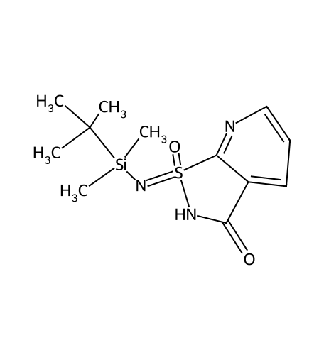 CC(C)(C)[Si](C)(C)N=S1(=O)NC(=O)c2cccnc21